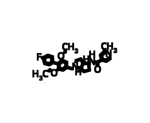 CCOc1cc(CN2CC[C@H]3C(NC(=O)c4ccnc(C)c4)CC[C@H]32)cc(OCC)c1-c1ccc(F)cc1